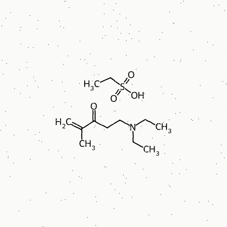 C=C(C)C(=O)CCN(CC)CC.CCS(=O)(=O)O